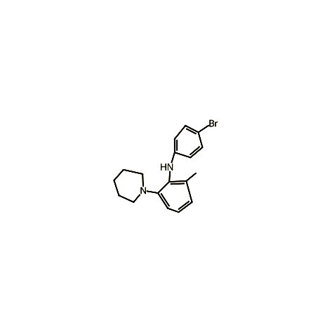 Cc1cccc(N2CCCCC2)c1Nc1ccc(Br)cc1